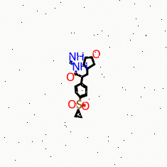 N=CNC(=O)C(CC1CCC(=O)C1)c1ccc(S(=O)(=O)C2CC2)cc1